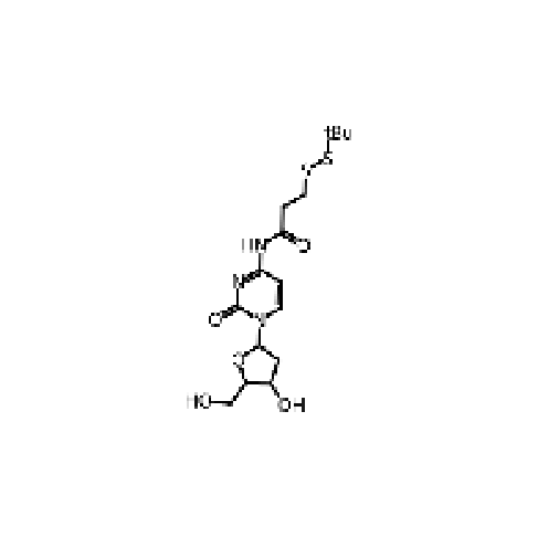 CC(C)(C)SSCCC(=O)Nc1ccn(C2CC(O)C(CO)O2)c(=O)n1